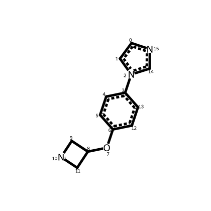 c1cn(-c2ccc(OC3C[N]C3)cc2)cn1